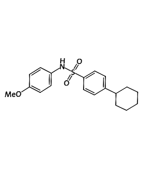 COc1ccc(NS(=O)(=O)c2ccc(C3CCCCC3)cc2)cc1